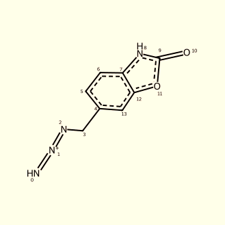 N=[N+]=NCc1ccc2[nH]c(=O)oc2c1